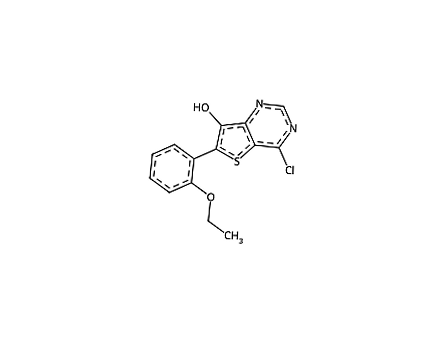 CCOc1ccccc1-c1sc2c(Cl)ncnc2c1O